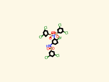 O=S(=O)(Nc1ccc(Br)c(N(S(=O)(=O)c2cc(Cl)cc(Cl)c2)S(=O)(=O)c2cc(Cl)cc(Cl)c2)c1)c1cc(Cl)cc(Cl)c1